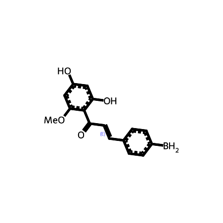 Bc1ccc(/C=C/C(=O)c2c(O)cc(O)cc2OC)cc1